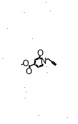 C#CCn1ccc(C(=O)OC)cc1=O